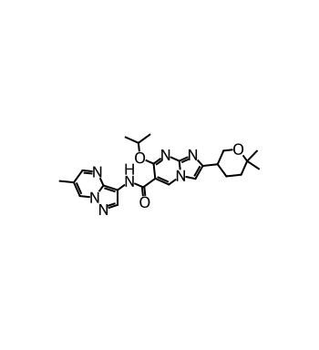 Cc1cnc2c(NC(=O)c3cn4cc(C5CCC(C)(C)OC5)nc4nc3OC(C)C)cnn2c1